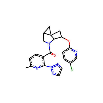 Cc1ccc(C(=O)N2CC3CC34CC(Oc3ccc(Br)cn3)C24)c(-n2nccn2)n1